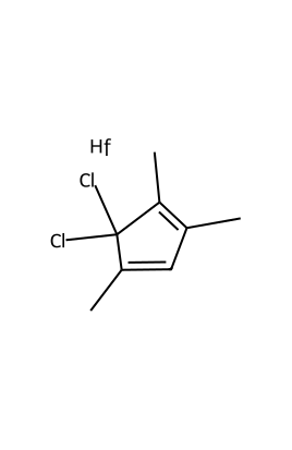 CC1=CC(C)=C(C)C1(Cl)Cl.[Hf]